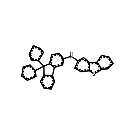 c1ccc(C2(c3ccccc3)c3ccccc3-c3cc(Nc4ccc5sc6ccccc6c5c4)ccc32)cc1